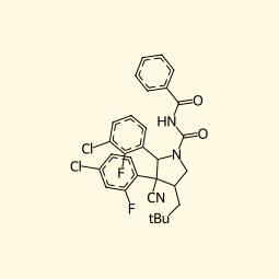 CC(C)(C)CC1CN(C(=O)NC(=O)c2ccccc2)C(c2cccc(Cl)c2F)C1(C#N)c1ccc(Cl)cc1F